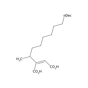 CCCCCCCCCCCCCCCCC(C)C(=CC(=O)O)C(=O)O